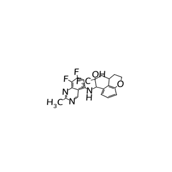 Cc1ncc2c(NC3c4cccc5c4C(CCO5)CC3(O)C(F)(F)F)cc(F)c(F)c2n1